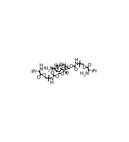 CC(C)[C@H](N)C(=O)OCC(C)(C)NC(=O)OCOP(=O)(OCOC(=O)NC(C)(C)COC(=O)[C@@H](N)C(C)C)C(O)(CCCN)P(=O)(O)O